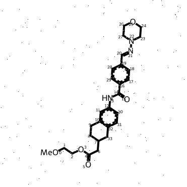 COCCOC(=O)CC1CCc2cc(NC(=O)c3ccc(C=NN4CCOCC4)cc3)ccc2C1